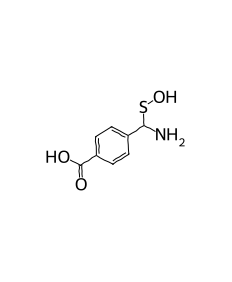 NC(SO)c1ccc(C(=O)O)cc1